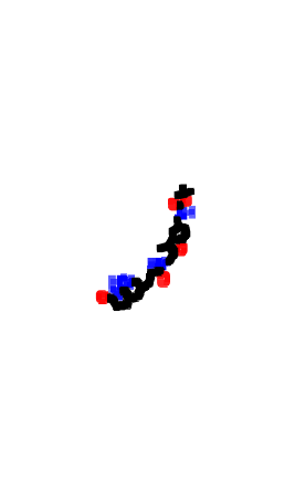 Cc1c(CNC(=O)/C=C/c2cnc3c(c2)CCC(=O)N3)oc2ccc(CNC(=O)OC(C)(C)C)cc12